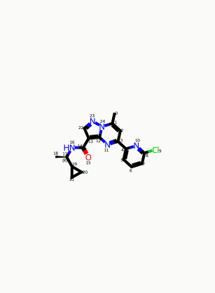 Cc1cc(-c2cccc(Cl)n2)nc2c(C(=O)N[C@H](C)C3CC3)cnn12